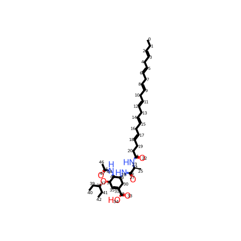 CCC=CCC=CCC=CCC=CCC=CCC=CCCC(=O)N[C@@H](C)C(=O)NC1CC(C(=O)O)=CC(OC(CC)CC)C1NC(C)=O